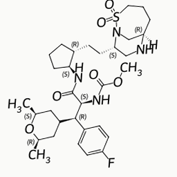 COC(=O)N[C@H](C(=O)N[C@H]1CCC[C@@H]1CC[C@H]1CN[C@@H]2CCCS(=O)(=O)N1C2)[C@@H](c1ccc(F)cc1)C1C[C@@H](C)O[C@@H](C)C1